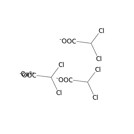 O=C([O-])C(Cl)Cl.O=C([O-])C(Cl)Cl.O=C([O-])C(Cl)Cl.[Ga+3]